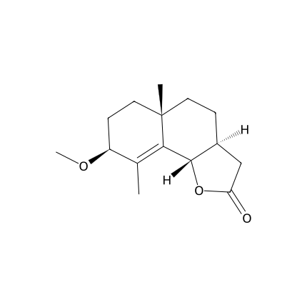 CO[C@H]1CC[C@]2(C)CC[C@H]3CC(=O)O[C@@H]3C2=C1C